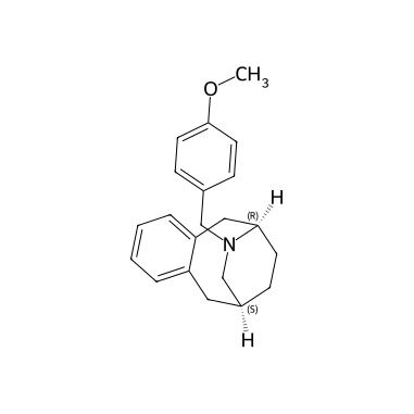 COc1ccc(CN2C[C@H]3CC[C@@H]2Cc2ccccc2C3)cc1